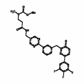 CN(CCC(=O)NCc1cnc(-c2cccc(Cn3nc(-c4cc(F)c(F)c(F)c4)ccc3=O)c2)nc1)C(=O)OC(C)(C)C